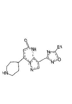 CCc1nc(-c2cnn3c(C4CCNCC4)cc(=O)[nH]c23)no1